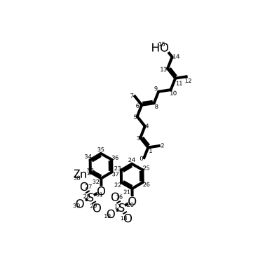 CC(C)=CCCC(C)=CCCC(C)=CCO.O=S(=O)([O-])Oc1ccccc1.O=S(=O)([O-])Oc1ccccc1.[Zn+2]